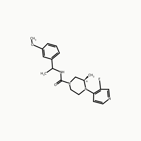 COc1cccc(C(C)NC(=O)N2CCN(c3ccncc3F)[C@H](C)C2)c1